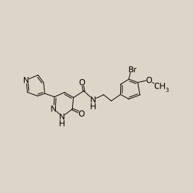 COc1ccc(CCNC(=O)c2cc(-c3ccncc3)n[nH]c2=O)cc1Br